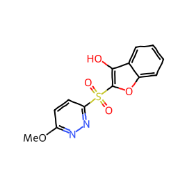 COc1ccc(S(=O)(=O)c2oc3ccccc3c2O)nn1